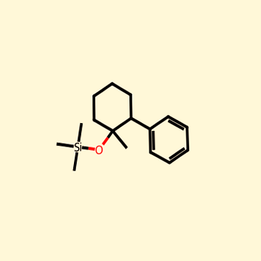 CC1(O[Si](C)(C)C)CCCCC1c1ccccc1